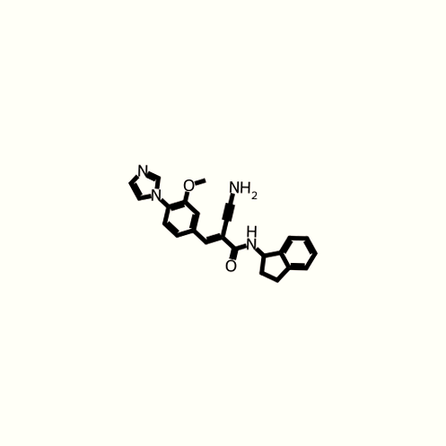 COc1cc(/C=C(\C#CN)C(=O)NC2CCc3ccccc32)ccc1-n1ccnc1